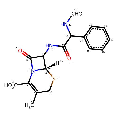 CC1=C(C(=O)O)N2C(=O)C(NC(=O)C(NC=O)c3ccccc3)[C@@H]2SC1